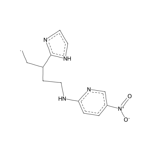 [CH2]CC(CCNc1ccc([N+](=O)[O-])cn1)c1ncc[nH]1